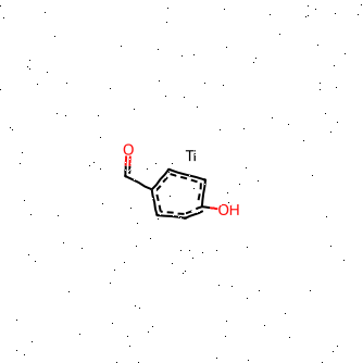 O=Cc1ccc(O)cc1.[Ti]